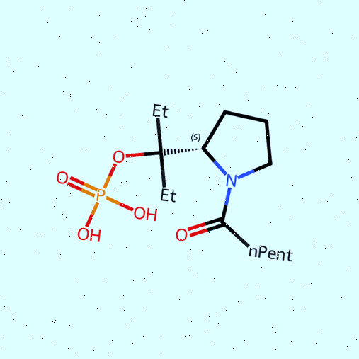 CCCCCC(=O)N1CCC[C@H]1C(CC)(CC)OP(=O)(O)O